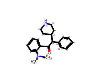 CN(C)c1ccccc1C(=O)C(c1ccccc1)C1CCNCC1